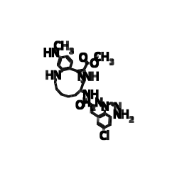 CNc1ccc2c(c1)NCCCCC[C@H](NC(=O)/C=C/c1cc(Cl)ccc1N(N)/C=N\N)c1nc-2c(C(=O)OC)[nH]1